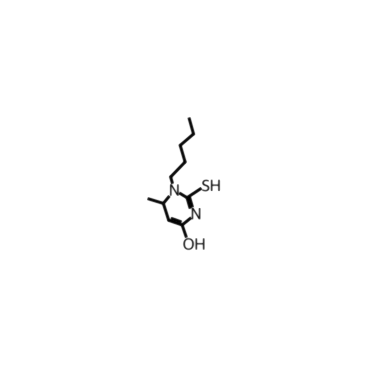 CCCCCN1C(S)=NC(O)=CC1C